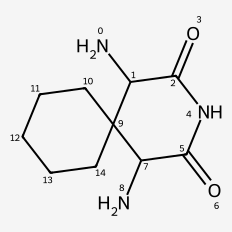 NC1C(=O)NC(=O)C(N)C12CCCCC2